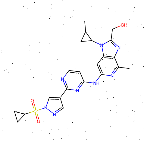 Cc1nc(Nc2ccnc(-c3cnn(S(=O)(=O)C4CC4)c3)n2)cc2c1nc(CO)n2C1CC1C